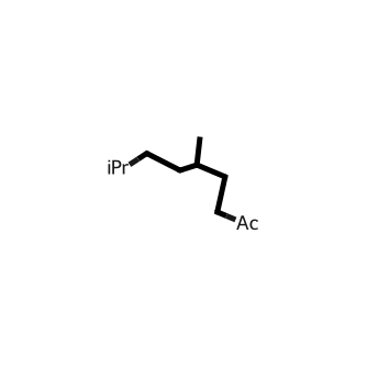 CC(=O)CCC(C)CCC(C)C